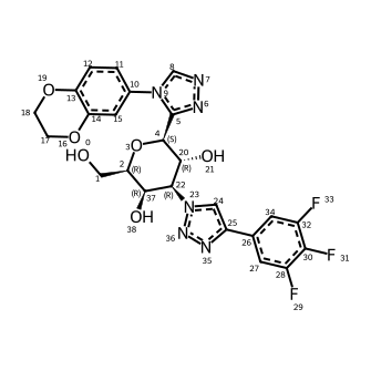 OC[C@H]1O[C@@H](c2nncn2-c2ccc3c(c2)OCCO3)[C@H](O)[C@@H](n2cc(-c3cc(F)c(F)c(F)c3)nn2)[C@H]1O